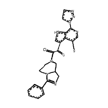 O=C(C(=O)N1CCN2C(c3ccccc3)=NCC2C1)c1c[nH]c2c(-n3ccnn3)ncc(F)c12